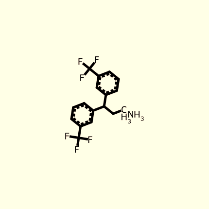 CCC(c1cccc(C(F)(F)F)c1)c1cccc(C(F)(F)F)c1.N